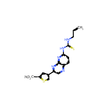 C=CCNC(=S)Nc1ccc2ncc(-c3csc(C(=O)O)c3)nc2n1